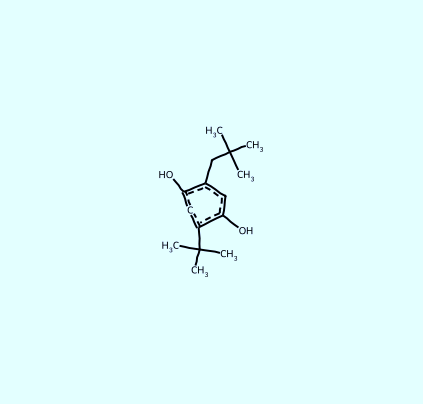 CC(C)(C)Cc1cc(O)c(C(C)(C)C)cc1O